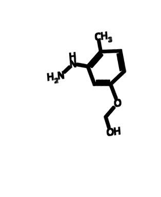 Cc1ccc(OCO)cc1NN